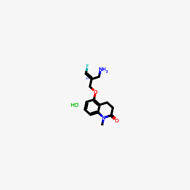 CN1C(=O)CCc2c(OC/C(=C/F)CN)cccc21.Cl